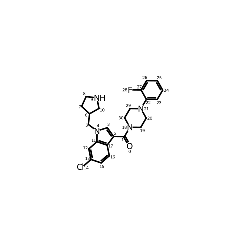 O=C(c1cn(CC2CCNC2)c2cc(Cl)ccc12)N1CCN(c2ccccc2F)CC1